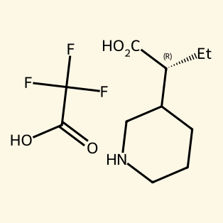 CC[C@@H](C(=O)O)C1CCCNC1.O=C(O)C(F)(F)F